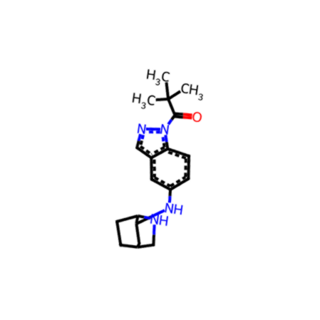 CC(C)(C)C(=O)n1ncc2cc(NC3CC4CCC3NC4)ccc21